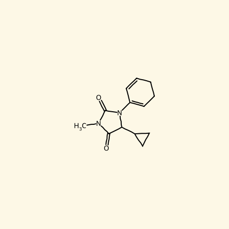 CN1C(=O)C(C2CC2)N(C2=CCCC=C2)C1=O